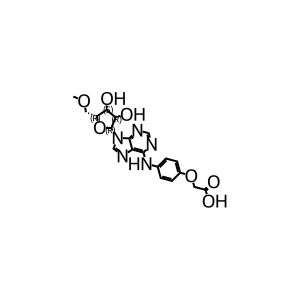 COC[C@H]1O[C@@H](n2cnc3c(Nc4ccc(OCC(=O)O)cc4)ncnc32)[C@H](O)[C@@H]1O